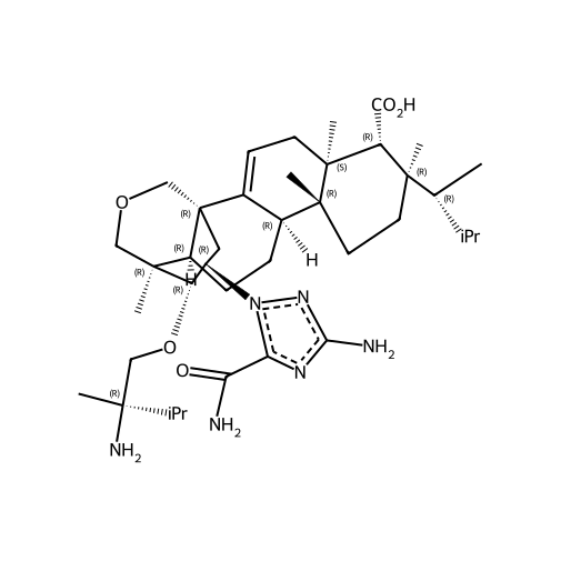 CC(C)[C@@H](C)[C@@]1(C)CC[C@]2(C)[C@H]3CC[C@@H]4[C@@]5(COC[C@]4(C)[C@@H](OC[C@](C)(N)C(C)C)[C@H](n4nc(N)nc4C(N)=O)C5)C3=CC[C@@]2(C)[C@@H]1C(=O)O